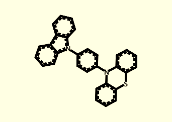 c1ccc2c(c1)Sc1ccccc1N2c1ccc(-n2c3ccccc3c3ccccc32)cc1